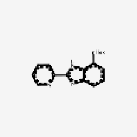 CCCCCCc1cccc2nc(-c3ccccn3)[nH]c12